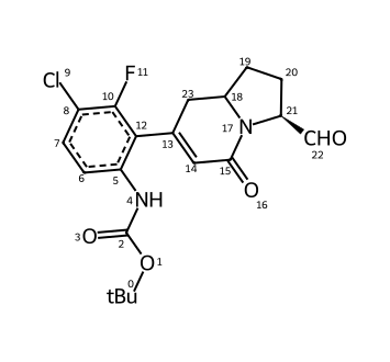 CC(C)(C)OC(=O)Nc1ccc(Cl)c(F)c1C1=CC(=O)N2C(CC[C@H]2C=O)C1